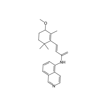 C=C(/C=C/C1=C(C)C(OC)CCC1(C)C)Nc1cccc2cnccc12